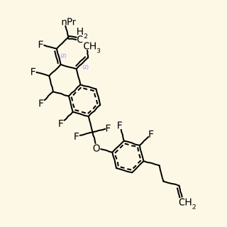 C=CCCc1ccc(OC(F)(F)c2ccc3c(c2F)C(F)C(F)C(=C(\F)C(=C)CCC)/C3=C\C)c(F)c1F